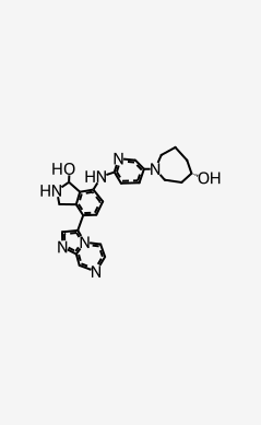 OC1NCc2c(-c3cnc4cnccn34)ccc(Nc3ccc(N4CCC[C@H](O)CC4)cn3)c21